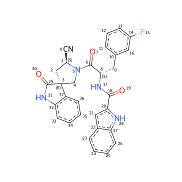 N#C[C@@H]1C[C@@]2(CN1C(=O)[C@H](Cc1cccc(F)c1)NC(=O)c1cc3ccccc3[nH]1)C(=O)Nc1ccccc12